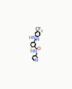 O=C(NCc1cccnc1)C1=CC(c2nc3ccc(C(F)(F)F)cc3[nH]2)=CCC1=S